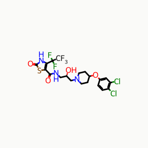 O=C(NC[C@@H](O)CN1CCC(Oc2ccc(Cl)c(Cl)c2)CC1)c1sc(=O)[nH]c1C(F)(F)C(F)(F)F